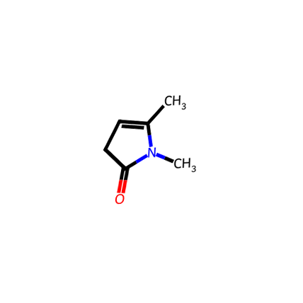 CC1=CCC(=O)N1C